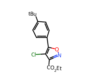 CCOC(=O)c1noc(-c2ccc(C(C)(C)C)cc2)c1Cl